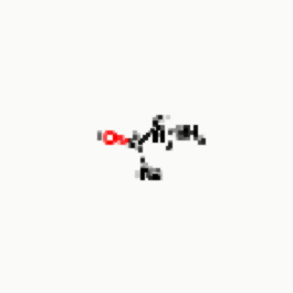 B.C[C](=O)[Na]